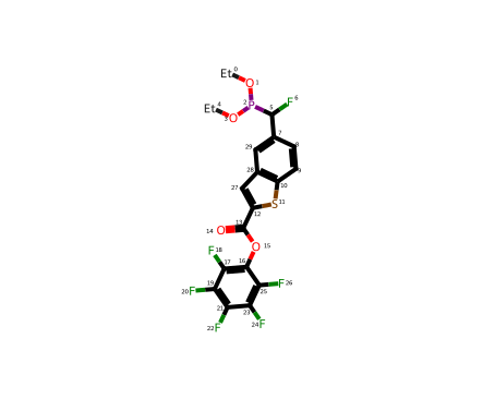 CCOP(OCC)C(F)c1ccc2sc(C(=O)Oc3c(F)c(F)c(F)c(F)c3F)cc2c1